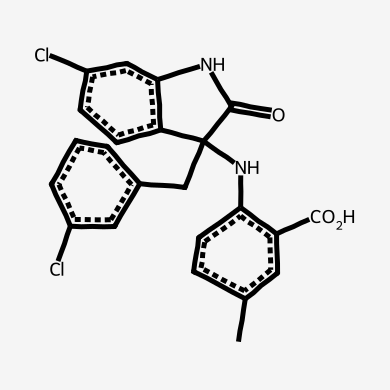 Cc1ccc(NC2(Cc3cccc(Cl)c3)C(=O)Nc3cc(Cl)ccc32)c(C(=O)O)c1